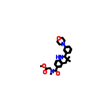 COC(=O)CN(C)C(=O)c1ccc2c(c1)CC(C)(C)C(c1cccc(N3CCOCC3)c1)N2